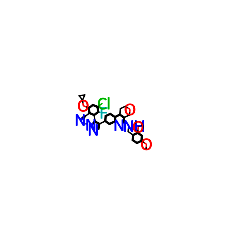 COc1ccc(CNc2nc3cc(-c4cnn(C)c4-c4c(F)c(Cl)cc(OC5CC5)c4C#N)ccc3c3c2COCC3)c(OC)c1